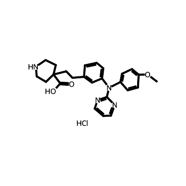 COc1ccc(N(c2cccc(CCC3(C(=O)O)CCNCC3)c2)c2ncccn2)cc1.Cl